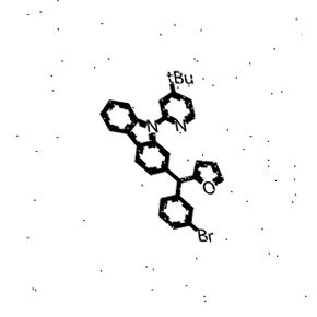 CC(C)(C)c1ccnc(-n2c3ccccc3c3ccc(C(c4cccc(Br)c4)c4ccco4)cc32)c1